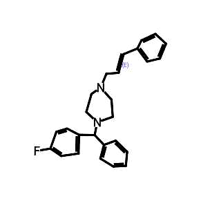 Fc1ccc(C(c2ccccc2)N2CCN(C/C=C/c3ccccc3)CC2)cc1